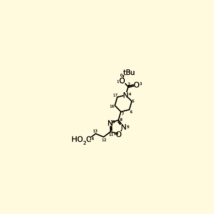 CC(C)(C)OC(=O)N1CCC(c2noc(CCC(=O)O)n2)CC1